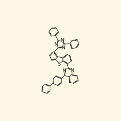 c1ccc(-c2ccc(-c3nc(-c4cccc5c4sc4cccc(-c6nc(-c7ccccc7)nc(-c7ccccc7)n6)c45)nc4ccccc34)cc2)cc1